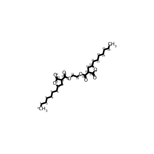 CCCCCCCC1CC(C(=O)OCCOC(=O)C2CC(CCCCCCC)OC2=O)C(=O)O1